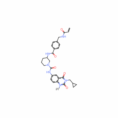 C=CC(=O)NCc1ccc(C(=O)NC2CCCN(C(=O)Nc3ccc4c(c3)c(=O)n(CC3CC3)c(=O)n4C(C)C)C2)cc1